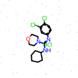 Cl.Clc1ccc(N=C(NC2CCCCC2)N2CCOCC2)cc1Cl